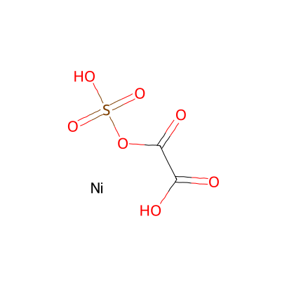 O=C(O)C(=O)OS(=O)(=O)O.[Ni]